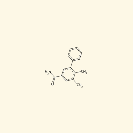 Cc1cc(C(N)=O)cc(-c2ccccc2)c1C